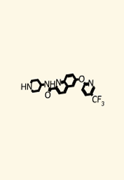 O=C(NC1CCNCC1)c1ccc2cc(Oc3ccc(C(F)(F)F)cn3)ccc2n1